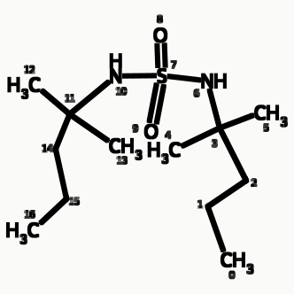 CCCC(C)(C)NS(=O)(=O)NC(C)(C)CCC